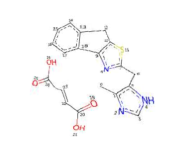 Cc1nc[nH]c1Cc1nc2c(s1)Cc1ccccc1-2.O=C(O)/C=C/C(=O)O